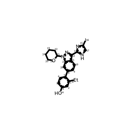 CCc1cc(O)ccc1-c1ccc2c(-c3nc(I)c[nH]3)nn(C3CCCCO3)c2c1